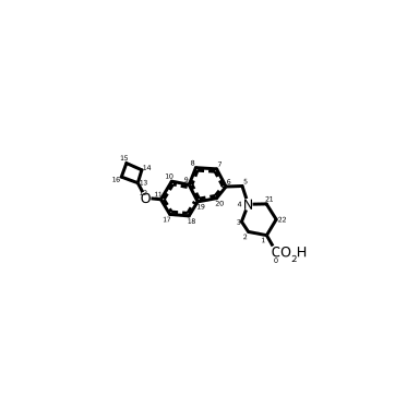 O=C(O)C1CCN(Cc2ccc3cc(OC4CCC4)ccc3c2)CC1